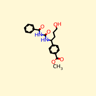 COC(=O)c1ccc(C(CCCO)NC(=O)NC(=O)c2ccccc2)cc1